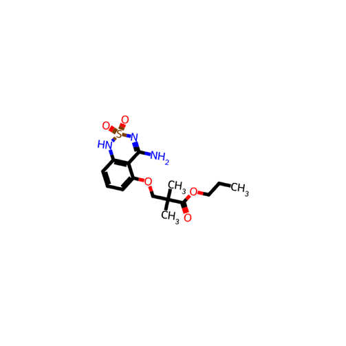 CCCOC(=O)C(C)(C)COc1cccc2c1C(N)=NS(=O)(=O)N2